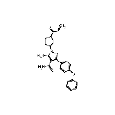 C=CC(=O)N1CCC(n2nc(-c3ccc(Oc4ccccc4)cc3)c(C(N)=O)c2N)C1